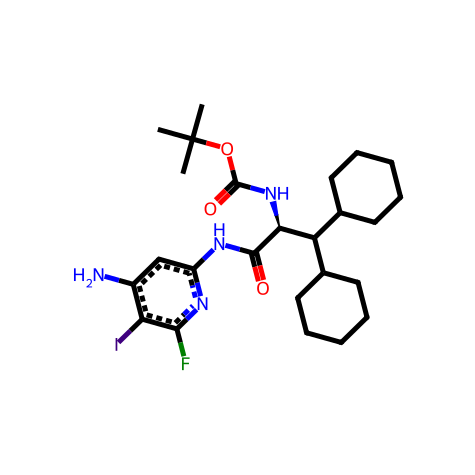 CC(C)(C)OC(=O)N[C@H](C(=O)Nc1cc(N)c(I)c(F)n1)C(C1CCCCC1)C1CCCCC1